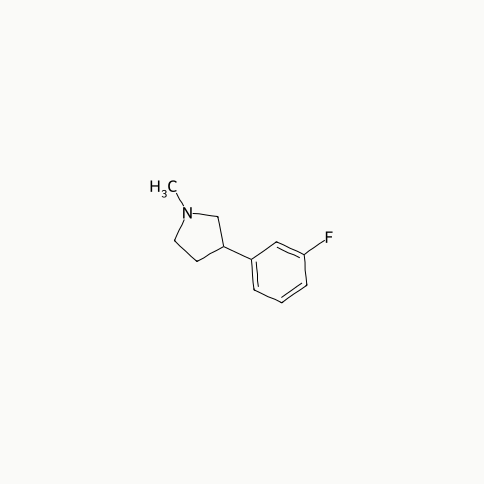 CN1CCC(c2cccc(F)c2)C1